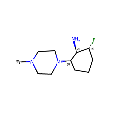 CC(C)N1CCN([C@H]2CCC[C@@H](F)[C@@H]2N)CC1